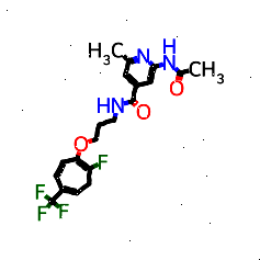 CC(=O)Nc1cc(C(=O)NCCCOC2=C(F)CC=C(C(F)(F)F)C=C2)cc(C)n1